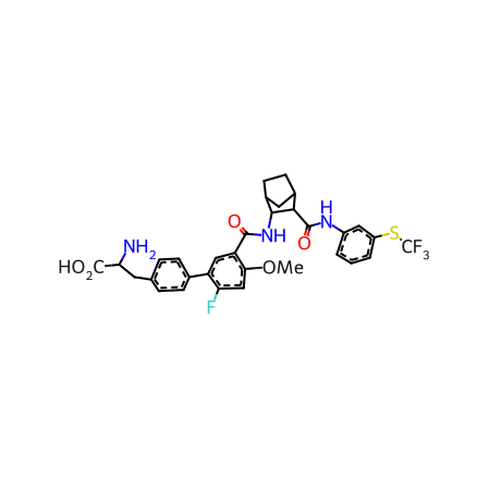 COc1cc(F)c(-c2ccc(CC(N)C(=O)O)cc2)cc1C(=O)NC1C2CCC(C2)C1C(=O)Nc1cccc(SC(F)(F)F)c1